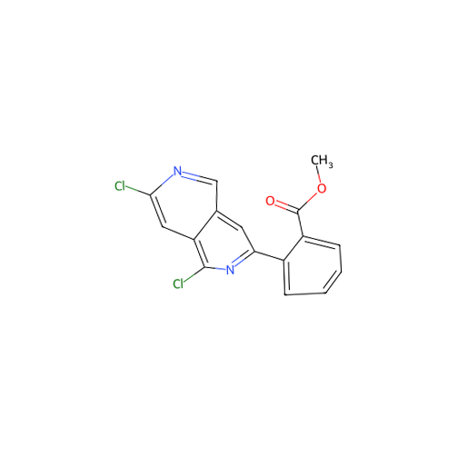 COC(=O)c1ccccc1-c1cc2cnc(Cl)cc2c(Cl)n1